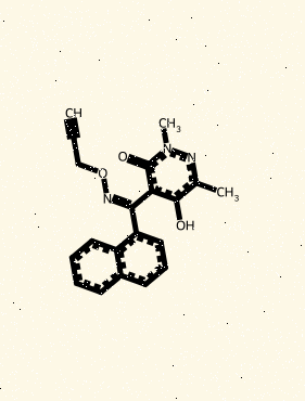 C#CCO/N=C(\c1c(O)c(C)nn(C)c1=O)c1cccc2ccccc12